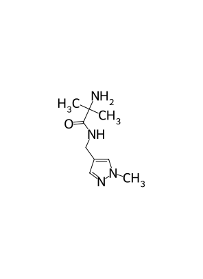 Cn1cc(CNC(=O)C(C)(C)N)cn1